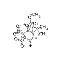 COC(=O)Oc1c(C(C)(C)C)cc(F)c([N+](=O)[O-])c1[N+](=O)[O-]